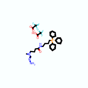 CN(C=NN)CCCC(=O)NCCCC[P+](c1ccccc1)(c1ccccc1)c1ccccc1.O=C(O)C(F)(F)F.O=C([O-])C(F)(F)F